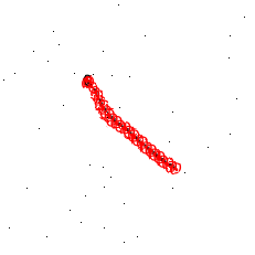 COCCOCCOCCOCCOCCOCCOCCOCCOCCOCCOCCOCCOCCOCCOCCOCCOCCOCCOCCOCCOCCOCCOCCCC12OCC(C)(CO1)CO2